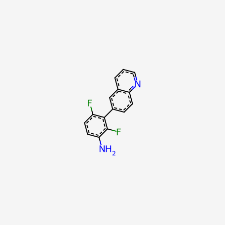 Nc1ccc(F)c(-c2ccc3ncccc3c2)c1F